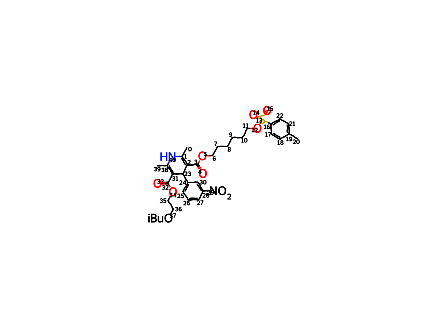 CC1=C(C(=O)OCCCCCCOS(=O)(=O)c2ccc(C)cc2)C(c2cccc([N+](=O)[O-])c2)C(C(=O)OCCOCC(C)C)=C(C)N1